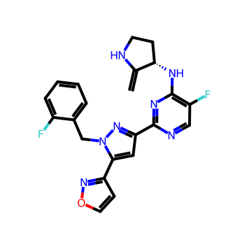 C=C1NCC[C@@H]1Nc1nc(-c2cc(-c3ccon3)n(Cc3ccccc3F)n2)ncc1F